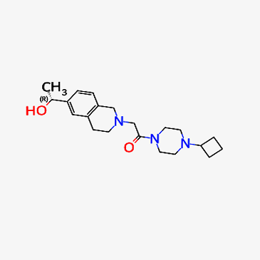 C[C@@H](O)c1ccc2c(c1)CCN(CC(=O)N1CCN(C3CCC3)CC1)C2